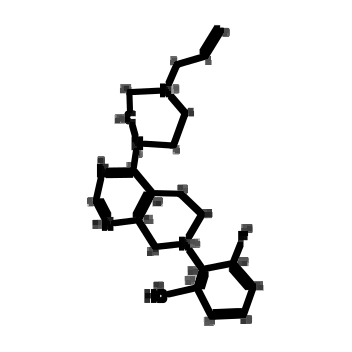 C=CCN1CCN(c2ncnc3c2CCN(c2c(O)cccc2F)C3)CC1